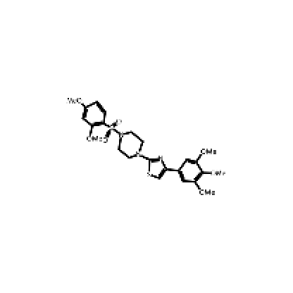 COc1ccc(S(=O)(=O)N2CCN(c3nc(-c4cc(OC)c(OC)c(OC)c4)cs3)CC2)c(OC)c1